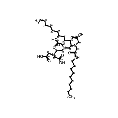 CCCCCCCCCCNC(=O)CN(CC(=O)O)C(CCCCCCCCCC)CN(CCN(CC(=O)O)CC(=O)O)CC(=O)O